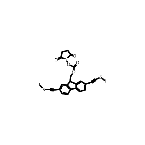 O=C(OCC1c2cc(C#CSI)ccc2-c2ccc(C#CSI)cc21)ON1C(=O)CCC1=O